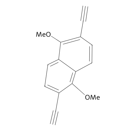 C#Cc1ccc2c(OC)c(C#C)ccc2c1OC